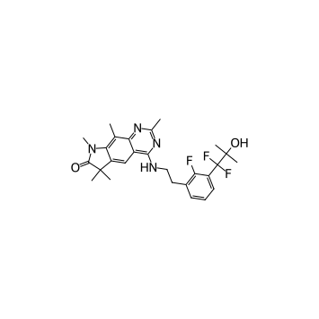 Cc1nc(NCCc2cccc(C(F)(F)C(C)(C)O)c2F)c2cc3c(c(C)c2n1)N(C)C(=O)C3(C)C